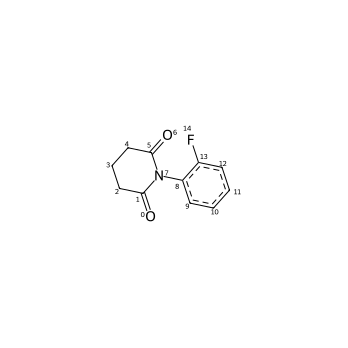 O=C1CCCC(=O)N1c1ccccc1F